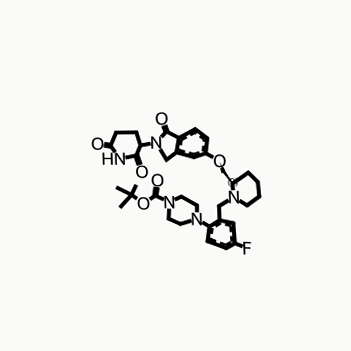 CC(C)(C)OC(=O)N1CCN(c2ccc(F)cc2CN2CCCC[C@@H]2COc2ccc3c(c2)CN(C2CCC(=O)NC2=O)C3=O)CC1